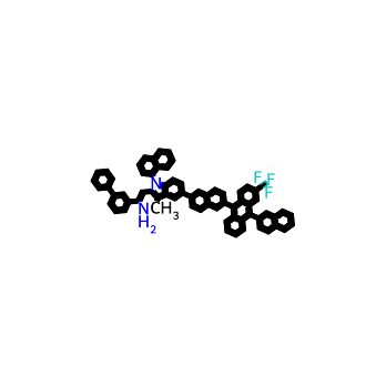 Cc1c(/C=C(\N)c2cccc(-c3ccccc3)c2)n(-c2cccc3ccccc23)c2ccc(-c3ccc4cc(-c5c6ccccc6c(-c6ccc7ccccc7c6)c6cc(C(F)(F)F)ccc56)ccc4c3)cc12